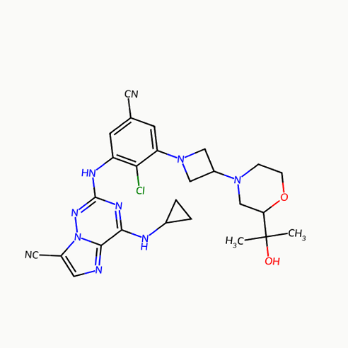 CC(C)(O)C1CN(C2CN(c3cc(C#N)cc(Nc4nc(NC5CC5)c5ncc(C#N)n5n4)c3Cl)C2)CCO1